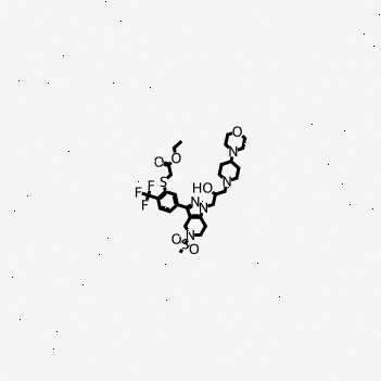 CCOC(=O)CSc1cc(-c2nn(CC(O)CN3CCC(N4CCOCC4)CC3)c3c2CN(S(C)(=O)=O)CC3)ccc1C(F)(F)F